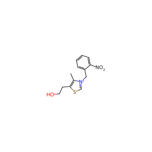 Cc1c(CCO)sc[n+]1Cc1ccccc1[N+](=O)[O-]